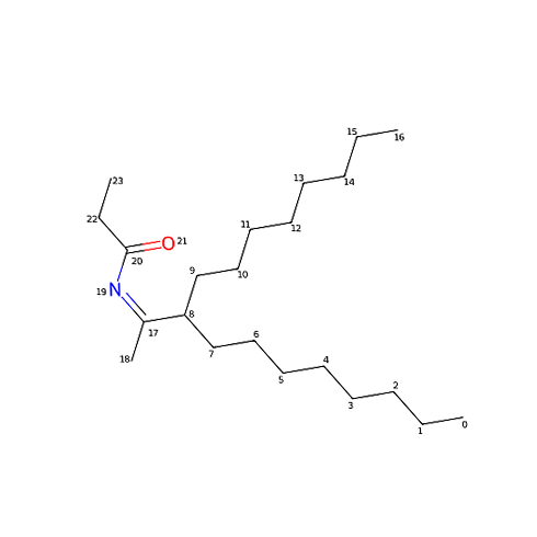 CCCCCCCCC(CCCCCCCC)/C(C)=N\C(=O)CC